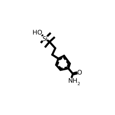 CC(C)(CCc1ccc(C(N)=O)cc1)[Si](C)(C)O